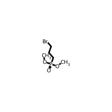 COP(=O)(CCCBr)OC